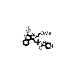 COCCn1nc2c(N)nc3ccccc3c2c1CC(C)(C)NC(=O)c1ccncc1